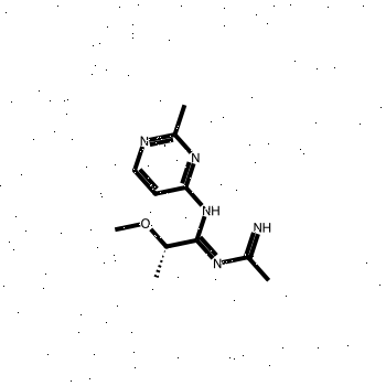 CO[C@@H](C)/C(=N/C(C)=N)Nc1ccnc(C)n1